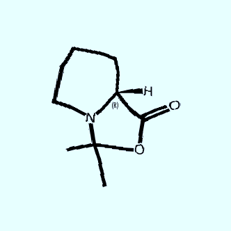 CC1(C)OC(=O)[C@H]2CCCCN21